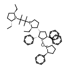 CC[C@@H]1CC[C@@H](CC)P1C(C)(C)C(C)(C)P1CC[C@H](C2C[C@@H](c3ccccc3)P(OP3[C@H](c4ccccc4)CC[C@H]3c3ccccc3)[C@@H]2c2ccccc2)[C@H]1CC